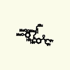 COc1cc(NC2Nc3ccc(C(=O)N(CC(C)C)CC(C)C)cc3N2CCCNCC(C)(C)C)cc(OC)c1OC